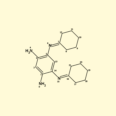 Nc1cc(N)c(N=C2CCCCC2)cc1N=C1CCCCC1